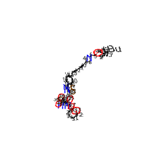 CC(C)(C)[Si](C)(C)OCCN1CC(C#CC#Cc2ccc3nc(CC[C@](C)(C(=O)NOC4CCCCO4)S(C)(=O)=O)sc3c2)C1